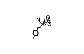 Cc1ccc(/C=C/C(C#N)=N/OS(C)(=O)=O)cc1